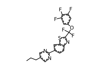 CCCc1cnc(-c2ccc3nc(C(F)(F)Oc4cc(F)c(F)c(F)c4)sc3c2)nc1